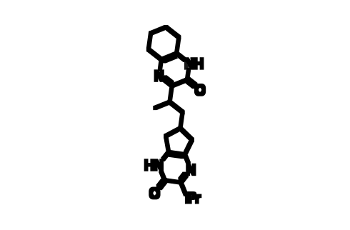 CC(C)c1nc2c([nH]c1=O)CC(CC(C)c1nc3c([nH]c1=O)CCCC3)C2